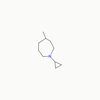 CC1CCCN(C2CC2)CC1